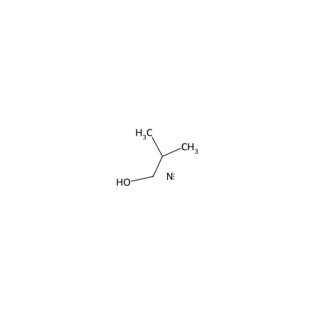 CC(C)CO.[N]